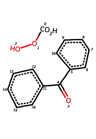 O=C(O)OO.O=C(c1ccccc1)c1ccccc1